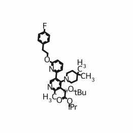 Cc1ncc(-c2cccc(OCCc3ccc(F)cc3)n2)c(N2CCC(C)(C)CC2)c1[C@H](OC(C)(C)C)C(=O)OC(C)C